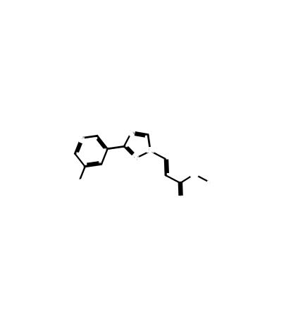 CC(C)OC(=O)C=Cn1cnc(-c2cncc(Cl)c2)n1